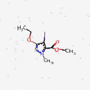 CCOc1nn(C)c(C(=O)OC)c1I